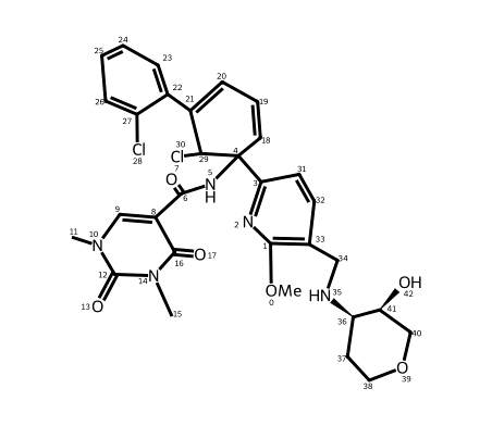 COc1nc(C2(NC(=O)c3cn(C)c(=O)n(C)c3=O)C=CC=C(c3ccccc3Cl)C2Cl)ccc1CN[C@@H]1CCOC[C@@H]1O